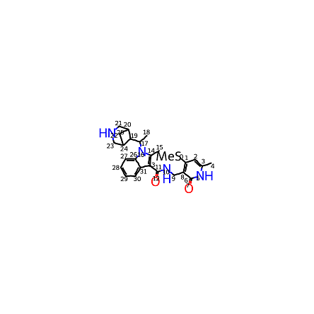 CSc1cc(C)[nH]c(=O)c1CNC(=O)c1c(C)n(C(C)C2C3CNCC2C3)c2ccccc12